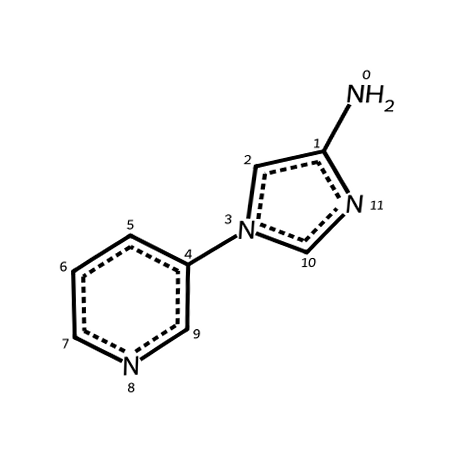 Nc1cn(-c2cccnc2)cn1